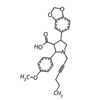 CCCC#CCN1CC(c2ccc3c(c2)OCO3)C(C(=O)O)C1c1ccc(OC)cc1